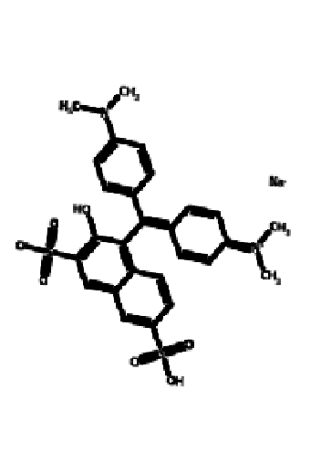 CN(C)c1ccc(C(=C2C=CC(=[N+](C)C)C=C2)c2c(O)c(S(=O)(=O)[O-])cc3cc(S(=O)(=O)O)ccc23)cc1.[Na]